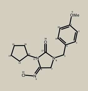 COc1ccc(CN2CC(=NCl)N(C3CCCC3)C2=O)cc1